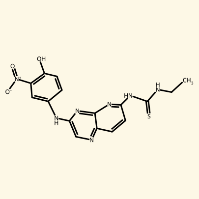 CCNC(=S)Nc1ccc2ncc(Nc3ccc(O)c([N+](=O)[O-])c3)nc2n1